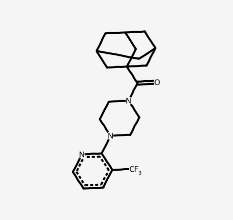 O=C(N1CCN(c2ncccc2C(F)(F)F)CC1)C12CC3CC(CC(C3)C1)C2